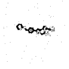 C[C@H]1Cn2nc(C34CCC(COC5CCCCO5)(CC3)CC4)cc2-c2cnc([C@@](C)(O)C(F)(F)F)n21